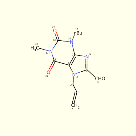 C=CCn1c(C=O)nc2c1c(=O)n(C)c(=O)n2CCCC